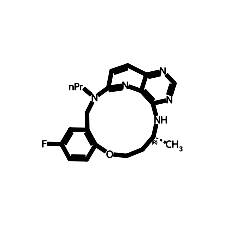 CCCN1Cc2cc(F)ccc2OCC[C@@H](C)Nc2ncnc3ccc1nc23